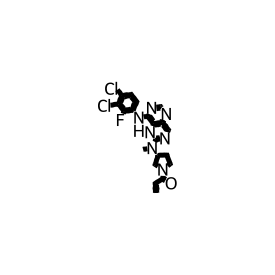 C=CC(=O)N1CCC(N(C)c2ncc3ncnc(Nc4ccc(Cl)c(Cl)c4F)c3n2)C1